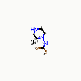 S=C([S-])NN1CCNCC1.[Na+]